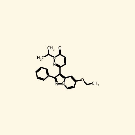 CCOc1ccn2nc(-c3ccccc3)c(-c3ccc(=O)n(C(C)C)n3)c2c1